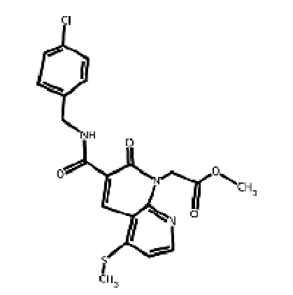 COC(=O)Cn1c(=O)c(C(=O)NCc2ccc(Cl)cc2)cc2c(SC)ccnc21